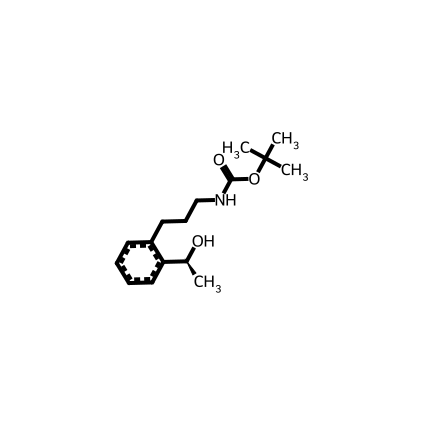 C[C@H](O)c1ccccc1CCCNC(=O)OC(C)(C)C